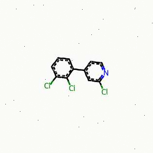 Clc1cc(-c2cccc(Cl)c2Cl)ccn1